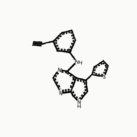 C#Cc1cccc(Nc2ncnc3[nH]cc(-c4cccs4)c23)c1